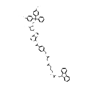 COc1ccc(C(OC[C@H]2O[C@@H](n3cnc4c(NC(=O)c5ccc(CNC(=O)COC(=O)CCCN(C)C(=O)OCC6c7ccccc7-c7ccccc76)cc5)ncnc43)CC2O)(c2ccccc2)c2ccc(OC)cc2)cc1